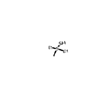 CCS(C)(S)CC